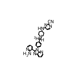 [2H]C([2H])(c1ccc(-n2c(-c3cccnc3N)nc3cccnc32)cc1)N1CCC(Nc2ccnc(C#N)n2)CC1